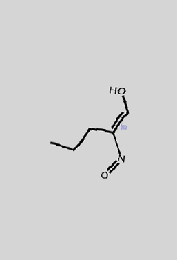 CCC/C(=C\O)N=O